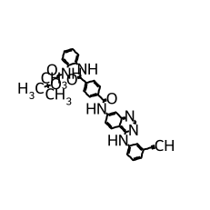 C#Cc1cccc(Nc2ncnc3cc(NC(=O)c4ccc(C(=O)Nc5ccccc5NC(=O)OC(C)(C)C)cc4)ccc23)c1